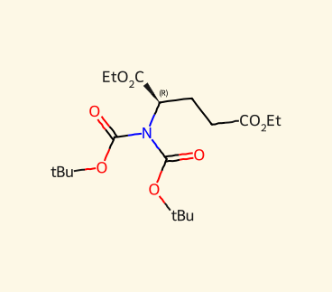 CCOC(=O)CC[C@H](C(=O)OCC)N(C(=O)OC(C)(C)C)C(=O)OC(C)(C)C